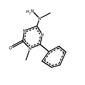 CN(N)c1nc(-c2ccccc2)n(C)c(=O)n1